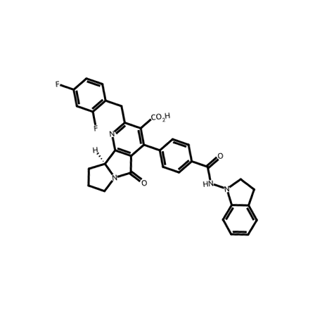 O=C(NN1CCc2ccccc21)c1ccc(-c2c(C(=O)O)c(Cc3ccc(F)cc3F)nc3c2C(=O)N2CCC[C@@H]32)cc1